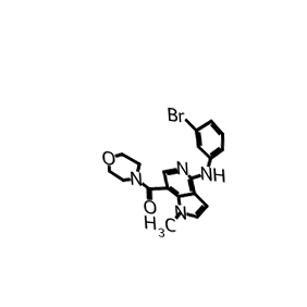 Cn1ccc2c(Nc3cccc(Br)c3)ncc(C(=O)N3CCOCC3)c21